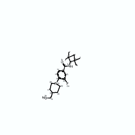 CC1(C)CC(C)(C)C1NC(=O)c1ccc(N2CCC(CO)CC2)c(F)c1